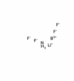 N.[B+3].[F-].[F-].[F-].[F-].[Li+]